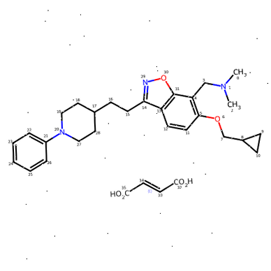 CN(C)Cc1c(OCC2CC2)ccc2c(CCC3CCN(c4ccccc4)CC3)noc12.O=C(O)/C=C/C(=O)O